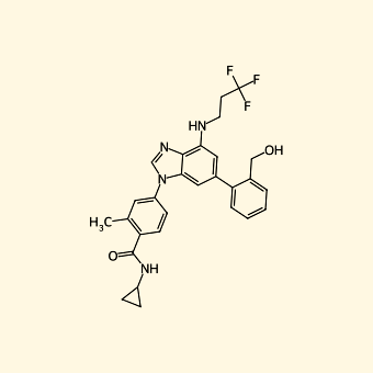 Cc1cc(-n2cnc3c(NCCC(F)(F)F)cc(-c4ccccc4CO)cc32)ccc1C(=O)NC1CC1